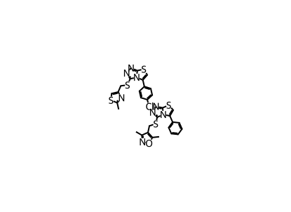 Cc1nc(CSc2nnc3scc(-c4ccc(Cl)cc4)n23)cs1.Cc1noc(C)c1CSc1nnc2scc(-c3ccccc3)n12